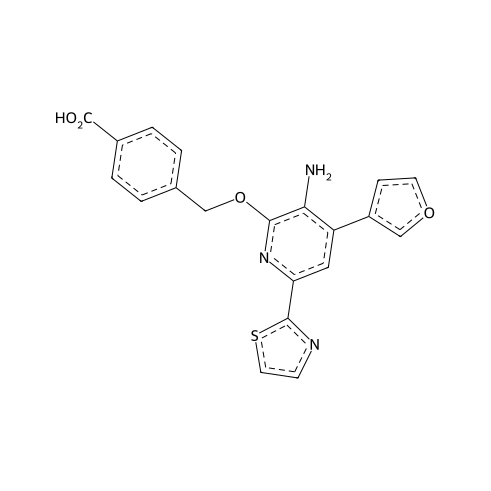 Nc1c(-c2ccoc2)cc(-c2nccs2)nc1OCc1ccc(C(=O)O)cc1